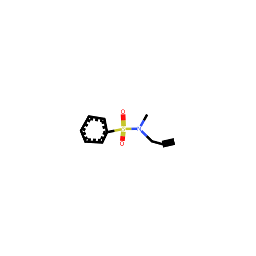 C#CCN(C)S(=O)(=O)c1ccccc1